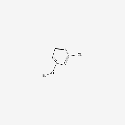 [CH2]COc1cccc(C#N)c1